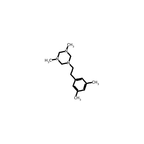 Cc1cc(C)cc(CCN2CN(C)CN(C)C2)c1